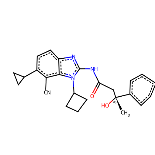 C[C@@](O)(CC(=O)Nc1nc2ccc(C3CC3)c(C#N)c2n1C1CCC1)c1ccccc1